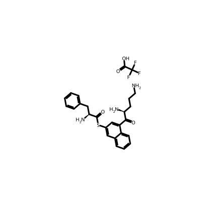 NCCC[C@H](N)C(=O)c1cc(SC(=O)[C@@H](N)Cc2ccccc2)cc2ccccc12.O=C(O)C(F)(F)F